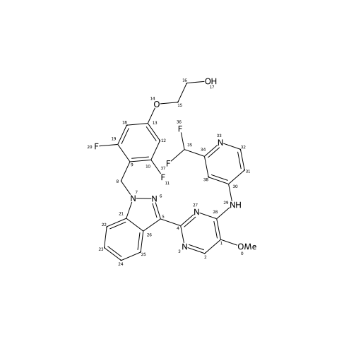 COc1cnc(-c2nn(Cc3c(F)cc(OCCO)cc3F)c3ccccc23)nc1Nc1ccnc(C(F)F)c1